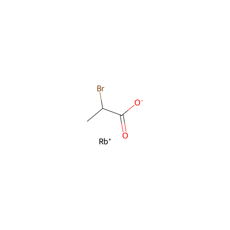 CC(Br)C(=O)[O-].[Rb+]